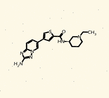 CCN1CCC[C@@H](NC(=O)c2cc(-c3ccc4nc(N)nn4c3)cs2)C1